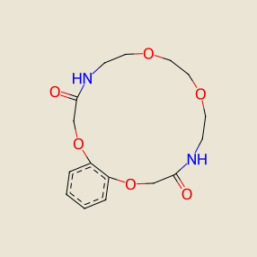 O=C1COc2ccccc2OCC(=O)NCCOCCOCCN1